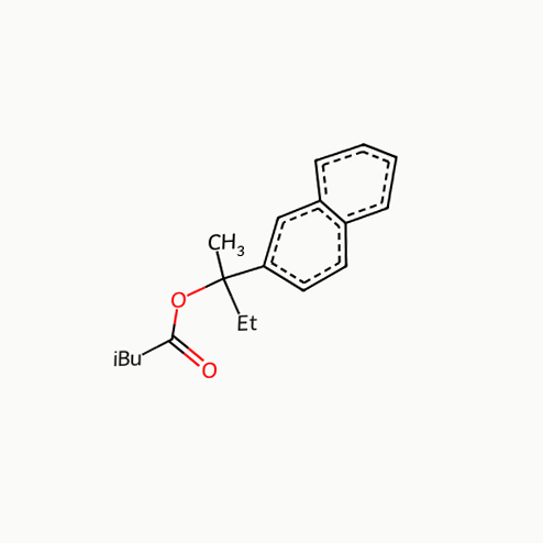 CCC(C)C(=O)OC(C)(CC)c1ccc2ccccc2c1